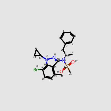 CB(Cc1ccccc1)N(c1nn(C2CC2)c2c(Br)ccc(C)c12)S(C)(=O)=O